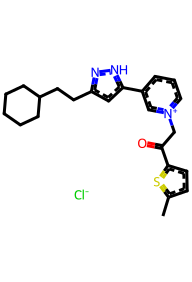 Cc1ccc(C(=O)C[n+]2cccc(-c3cc(CCC4CCCCC4)n[nH]3)c2)s1.[Cl-]